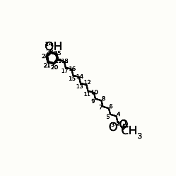 COC(=O)CCCCCCCCCCCCCCCc1cccc(O)c1